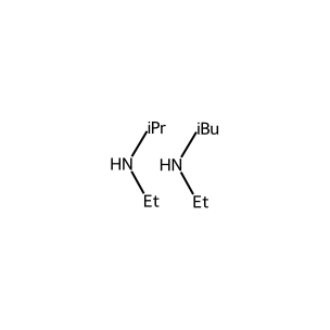 CCNC(C)C.CCNC(C)CC